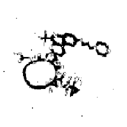 CC1(S(=O)(=O)NC(=O)[C@@]23C[C@H]2C=CCCCCC[C@H](NC(=O)O)C(=O)N2C[C@@]4(CCc5c(c(C(F)(F)F)nc6ccc(OCCCN7CCOCC7)cc56)O4)C[C@H]2C(=O)N3)CC1